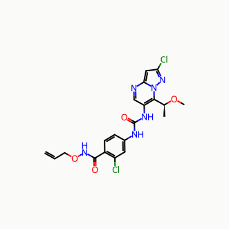 C=CCONC(=O)c1ccc(NC(=O)Nc2cnc3cc(Cl)nn3c2[C@H](C)OC)cc1Cl